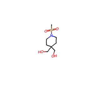 CS(=O)(=O)N1CCC(CO)(CO)CC1